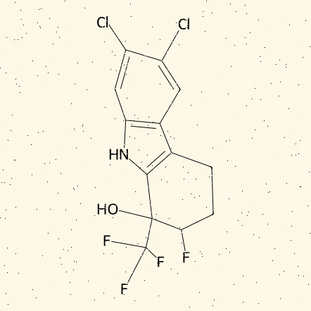 OC1(C(F)(F)F)c2[nH]c3cc(Cl)c(Cl)cc3c2CCC1F